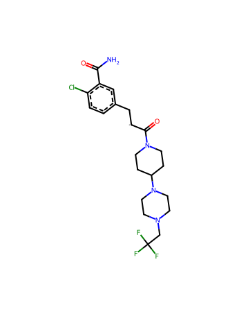 NC(=O)c1cc(C[CH]C(=O)N2CCC(N3CCN(CC(F)(F)F)CC3)CC2)ccc1Cl